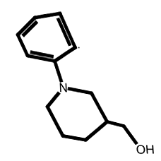 OCC1CCCN(c2[c]cccc2)C1